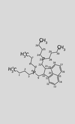 CCCCP(CCCC)CC1c2cccc3cccc(c23)C1CP(CCCC)CCCC